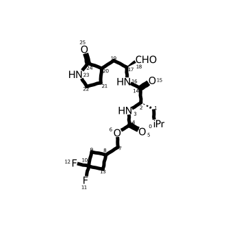 CC(C)C[C@H](NC(=O)OCC1CC(F)(F)C1)C(=O)N[C@H](C=O)CC1CCNC1=O